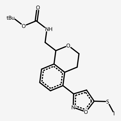 CC(C)(C)OC(=O)NCC1OCCc2c(-c3cc(SI)on3)cccc21